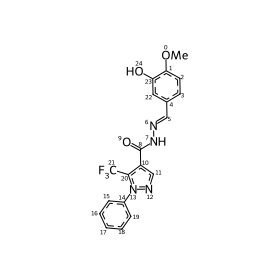 COc1ccc(C=NNC(=O)c2cnn(-c3ccccc3)c2C(F)(F)F)cc1O